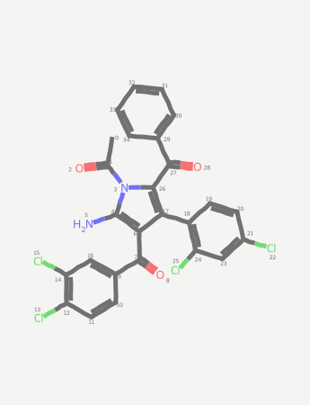 CC(=O)n1c(N)c(C(=O)c2ccc(Cl)c(Cl)c2)c(-c2ccc(Cl)cc2Cl)c1C(=O)c1ccccc1